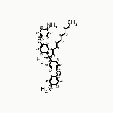 CCCCCCCCCCC(C)(c1ccc(Oc2ccc(N)cc2)cc1)c1ccc(Oc2ccc(N)cc2)cc1